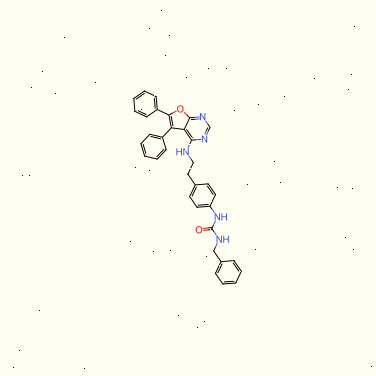 O=C(NCc1ccccc1)Nc1ccc(CCNc2ncnc3oc(-c4ccccc4)c(-c4ccccc4)c23)cc1